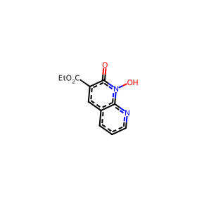 CCOC(=O)c1cc2cccnc2n(O)c1=O